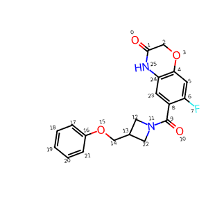 O=C1COc2cc(F)c(C(=O)N3CC(COc4ccccc4)C3)cc2N1